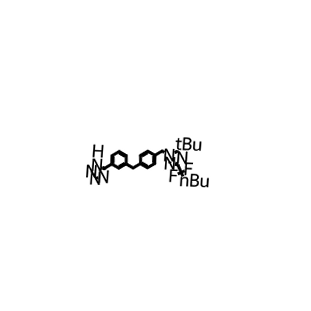 CCCCC(F)(F)c1nc(C(C)(C)C)n(Cc2ccc(Cc3cccc(-c4nnn[nH]4)c3)cc2)n1